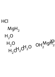 Cl.O.O.O.O.O.O.[KH].[MgH2].[MgH2]